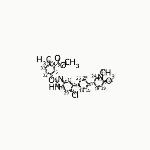 COC(=O)c1cc(Oc2nc3cc(-c4ccc(-c5ccc(=O)n(C)c5)cc4)c(Cl)cc3[nH]2)ccc1C